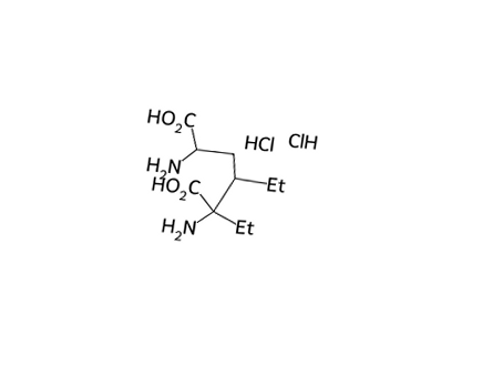 CCC(CC(N)C(=O)O)C(N)(CC)C(=O)O.Cl.Cl